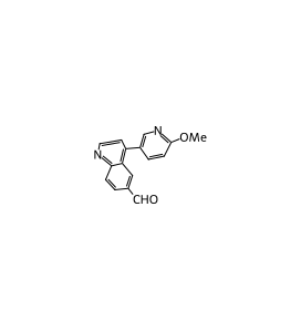 COc1ccc(-c2ccnc3ccc(C=O)cc23)cn1